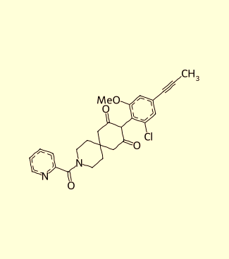 CC#Cc1cc(Cl)c(C2C(=O)CC3(CCN(C(=O)c4ccccn4)CC3)CC2=O)c(OC)c1